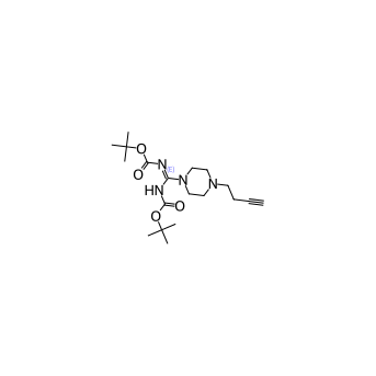 C#CCCN1CCN(/C(=N/C(=O)OC(C)(C)C)NC(=O)OC(C)(C)C)CC1